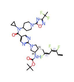 C=C/C(F)=C(F)\C=C(\F)C[C@H]1CN(c2ncc(C(=O)N(C3CC3)C3CCN(c4nc(C(C)(F)F)no4)CC3)cn2)C[C@@H]1NC(=O)OC(C)(C)C